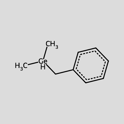 [CH3][GeH]([CH3])[CH2]c1ccccc1